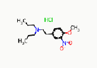 CCCN(CCC)CCc1ccc(OC)c([N+](=O)[O-])c1.Cl